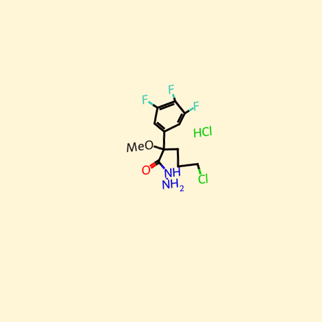 COC(CCCCl)(C(=O)NN)c1cc(F)c(F)c(F)c1.Cl